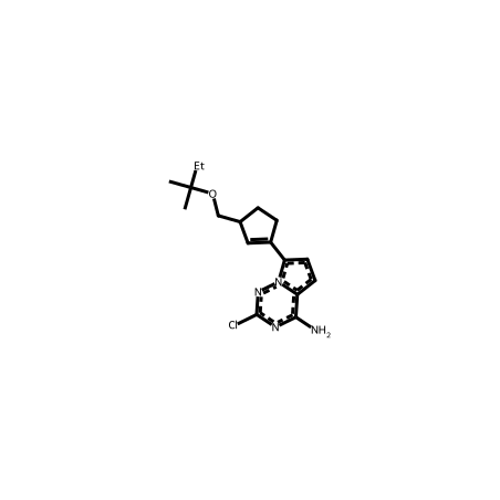 CCC(C)(C)OCC1C=C(c2ccc3c(N)nc(Cl)nn23)CC1